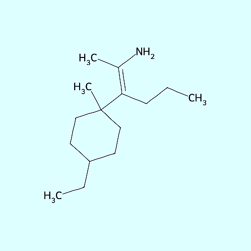 CCC/C(=C(/C)N)C1(C)CCC(CC)CC1